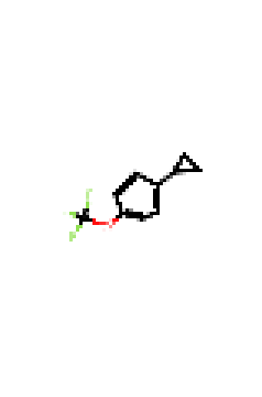 FC(F)(F)Oc1ccc([C]2CC2)cc1